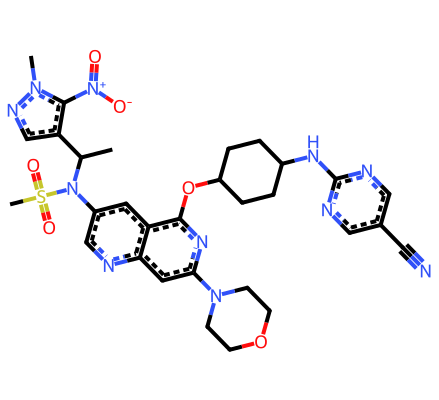 CC(c1cnn(C)c1[N+](=O)[O-])N(c1cnc2cc(N3CCOCC3)nc(OC3CCC(Nc4ncc(C#N)cn4)CC3)c2c1)S(C)(=O)=O